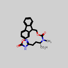 CN(C(=O)OCC1c2ccccc2-c2ccccc21)[C@@H](CCc1noc(=O)[nH]1)C(=O)O